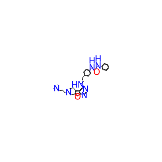 CN(C)CCCN1CCc2c(oc3ncnc(NCCc4ccc(NC(=O)Nc5ccccc5)cc4)c23)C1